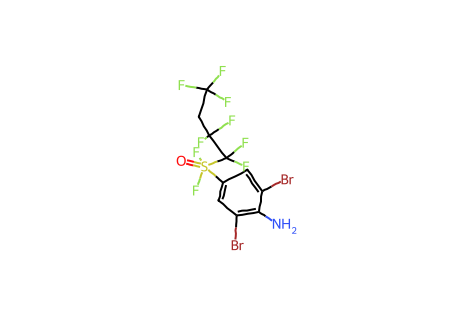 Nc1c(Br)cc(S(=O)(F)(F)C(F)(F)C(F)(F)CC(F)(F)F)cc1Br